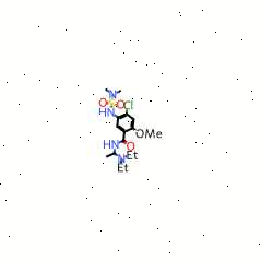 CCN(CC)C(C)NC(=O)c1cc(NS(=O)(=O)N(C)C)c(Cl)cc1OC